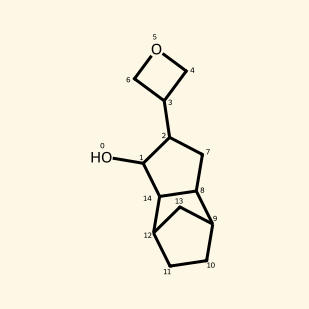 OC1C(C2COC2)CC2C3CCC(C3)C12